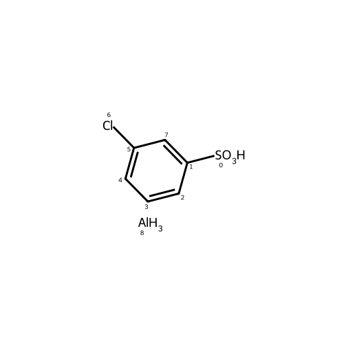 O=S(=O)(O)c1cccc(Cl)c1.[AlH3]